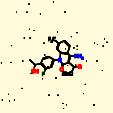 COC(=O)c1c(N)c2ccc(C(F)(F)F)cc2n(-c2ccc(C(C)O)c(F)c2)c1=O